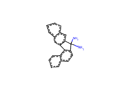 NC1(N)c2cc3ccccc3cc2-c2c1ccc1ccccc21